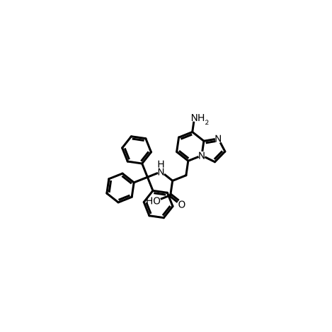 Nc1ccc(CC(NC(c2ccccc2)(c2ccccc2)c2ccccc2)C(=O)O)n2ccnc12